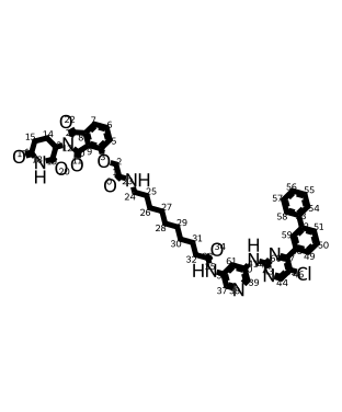 O=C(COc1cccc2c1C(=O)N(C1CCC(=O)NC1=O)C2=O)NCCCCCCCCCC(=O)Nc1cncc(Nc2ncc(Cl)c(-c3cccc(-c4ccccc4)c3)n2)c1